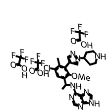 COc1c(C(C)Nc2ncnc3[nH]cnc23)cc(Cl)c(C)c1-c1cnn(C2CCNCC2)c1.O=C(O)C(F)(F)F.O=C(O)C(F)(F)F.O=C(O)C(F)(F)F